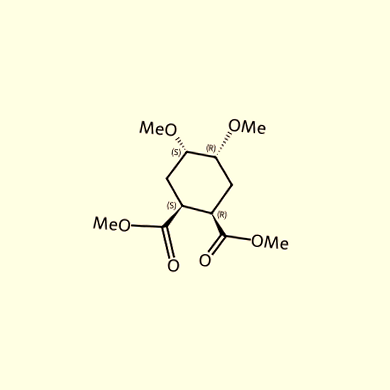 COC(=O)[C@H]1C[C@H](OC)[C@H](OC)C[C@H]1C(=O)OC